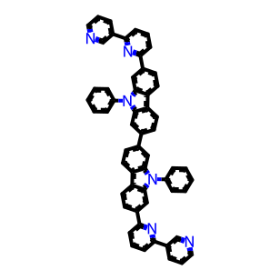 c1ccc(-n2c3cc(-c4ccc5c6ccc(-c7cccc(-c8cccnc8)n7)cc6n(-c6ccccc6)c5c4)ccc3c3ccc(-c4cccc(-c5cccnc5)n4)cc32)cc1